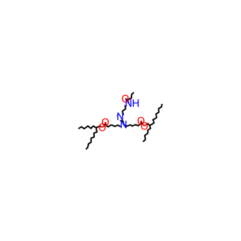 CCCCCCCCC(CCCCCC)COC(=O)CCCCCN(CCCCCC(=O)OCC(CCCCCC)CCCCCCCC)CCN(C)CCCCNC(=O)CCC